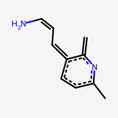 C=c1nc(C)cc/c1=C/C=C\N